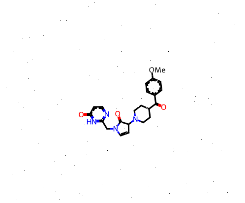 COc1ccc(C(=O)C2CCN(C3C=CN(Cc4nccc(=O)[nH]4)C3=O)CC2)cc1